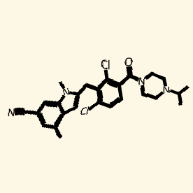 Cc1cc(C#N)cc2c1cc(Cc1c(Cl)ccc(C(=O)N3CCN(C(C)C)CC3)c1Cl)n2C